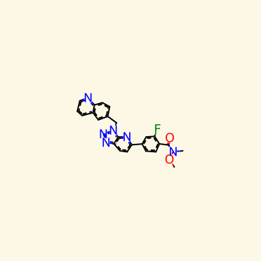 CON(C)C(=O)c1ccc(-c2ccc3nnn(Cc4ccc5ncccc5c4)c3n2)cc1F